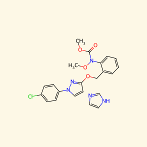 COC(=O)N(OC)c1ccccc1COc1ccn(-c2ccc(Cl)cc2)n1.c1c[nH]cn1